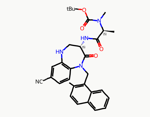 Cc1ccc2ccccc2c1CN1C(=O)[C@@H](NC(=O)[C@H](C)N(C)C(=O)OC(C)(C)C)CNc2cc(C#N)ccc21